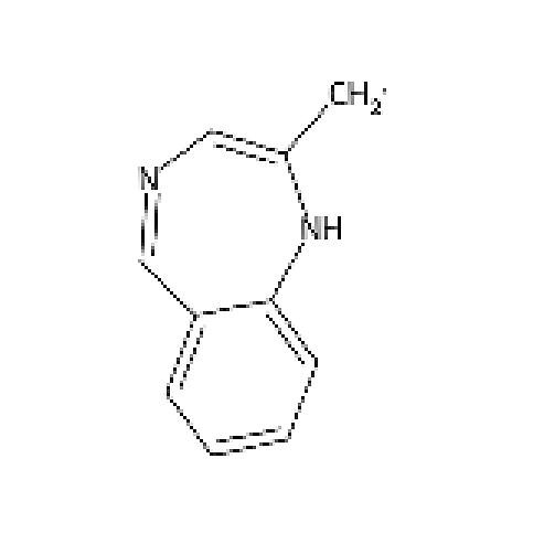 [CH2]C1=CN=Cc2ccccc2N1